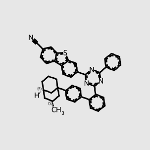 C[C@H]1C[C@H]2CCCC(c3ccc(-c4ccccc4-c4nc(-c5ccccc5)nc(-c5ccc6c(c5)sc5cc(C#N)ccc56)n4)cc3)(C1)C2